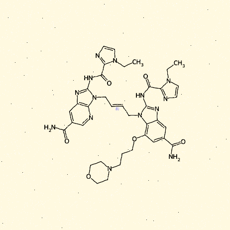 CCn1ccnc1C(=O)Nc1nc2cc(C(N)=O)cnc2n1C/C=C/Cn1c(NC(=O)c2nccn2CC)nc2cc(C(N)=O)cc(OCCCN3CCOCC3)c21